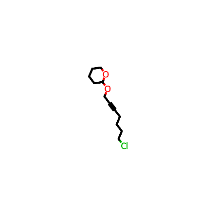 ClCCCCC#CCOC1CCCCO1